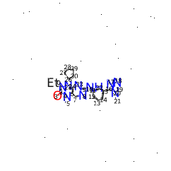 CCN1C(=O)N(C)c2cnc(Nc3cccc(-c4nncn4C)c3)nc2N1C1CCCC1